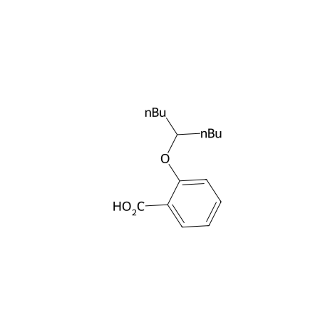 CCCCC(CCCC)Oc1ccccc1C(=O)O